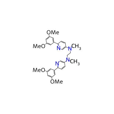 COc1cc(OC)cc(-c2ccc(N(C)CCN(C)c3ccc(-c4cc(OC)cc(OC)c4)nc3)cn2)c1